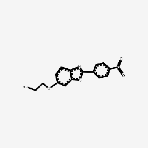 O=I(=O)c1ccc(-c2nc3ccc(OCCO)cc3s2)cc1